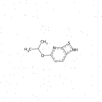 CC(C)Oc1ccc2[nH]sc2n1